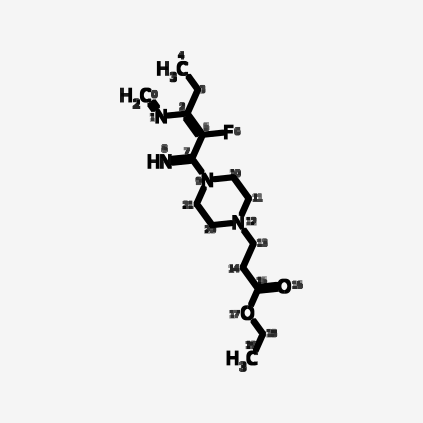 C=N/C(CC)=C(/F)C(=N)N1CCN(CCC(=O)OCC)CC1